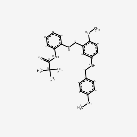 COc1ccc(CNc2ccc(OC)c(CSc3ccccc3NC(=O)C(C)(C)C)c2)cc1